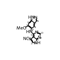 COc1cc2[nH]ncc2cc1Nc1ncnc2[nH]cc(C#N)c12